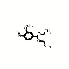 CCOC(OCC)c1ccc(N=O)c(OC)c1